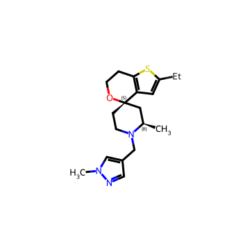 CCc1cc2c(s1)CCO[C@]21CCN(Cc2cnn(C)c2)[C@H](C)C1